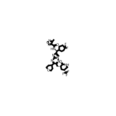 Cc1nonc1C(=O)N[C@H](c1cn2nc(C[C@H]3C[C@@H](C(F)(F)F)CNC3=O)c(C3CCOCC3)nc2n1)C1CCC(F)(F)CC1